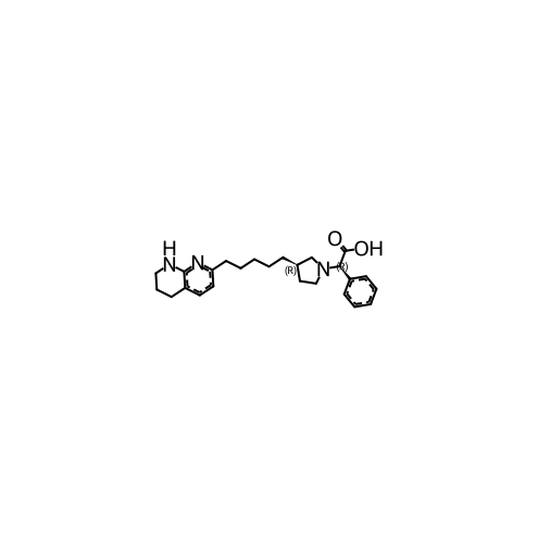 O=C(O)[C@@H](c1ccccc1)N1CC[C@@H](CCCCCc2ccc3c(n2)NCCC3)C1